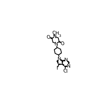 CN1CC(=O)N(C2CCC(n3cc(I)c4c(Cl)ncnc43)CC2)CC1=O